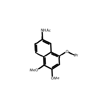 COc1cc(OC(C)C)c2cc(NC(C)=O)ccc2c1OC